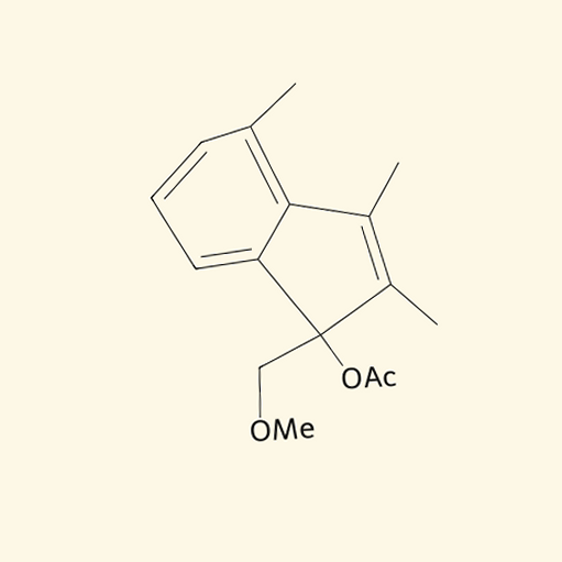 COCC1(OC(C)=O)C(C)=C(C)c2c(C)cccc21